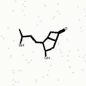 CC(O)CCC1C(O)CC2C(=O)CC21